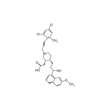 COc1ccc2nccc(C(O)CC[C@@H]3CCN(CC#Cc4c(C)cc(Cl)cc4Cl)C[C@@H]3CC(=O)O)c2c1